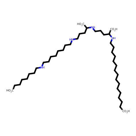 O=C(O)CCCCCCCCCCCCCCCNC(CCCNC(CCCNCCCCCCCCNCCCCCCCC(=O)O)C(=O)O)C(=O)O